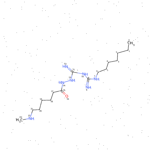 CCCCCCCNC(=N)NC(=N)NNC(=O)CCCCCNC